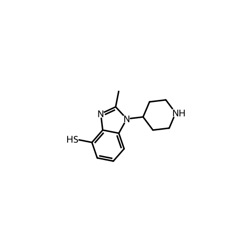 Cc1nc2c(S)cccc2n1C1CCNCC1